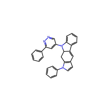 C1=C2c3ccccc3N(c3cnnc(-c4ccccc4)c3)C2Cc2c1ccn2-c1ccccc1